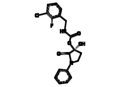 O=C(NCc1cccc(Cl)c1F)O[C@@]1(O)CCN(c2ccccc2)C1=O